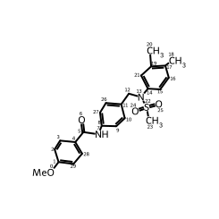 COc1ccc(C(=O)Nc2ccc(CN(c3ccc(C)c(C)c3)S(C)(=O)=O)cc2)cc1